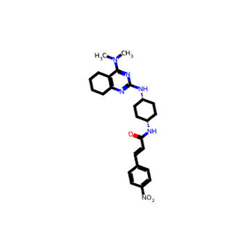 CN(C)c1nc(N[C@H]2CC[C@@H](NC(=O)/C=C/c3ccc([N+](=O)[O-])cc3)CC2)nc2c1CCCC2